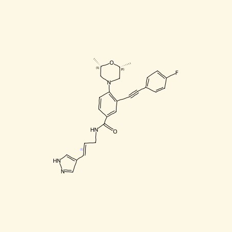 C[C@@H]1CN(c2ccc(C(=O)NC/C=C/c3cn[nH]c3)cc2C#Cc2ccc(F)cc2)C[C@H](C)O1